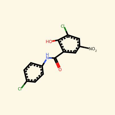 O=C(Nc1ccc(Cl)cc1)c1cc([N+](=O)[O-])cc(Cl)c1O